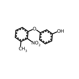 Cc1cccc(Oc2cccc(O)c2)c1[N+](=O)[O-]